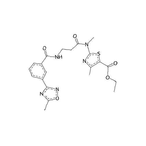 CCOC(=O)c1sc(N(C)C(=O)CCNC(=O)c2cccc(-c3noc(C)n3)c2)nc1C